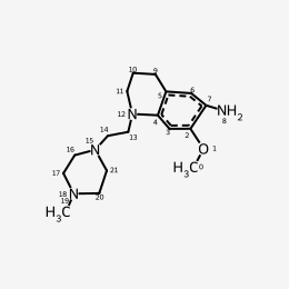 COc1cc2c(cc1N)CCCN2CCN1CCN(C)CC1